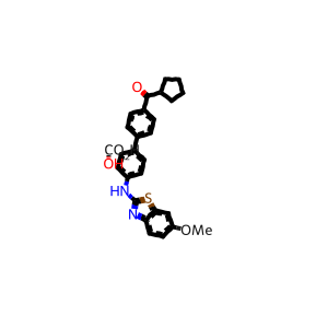 COc1ccc2nc(Nc3ccc(-c4ccc(C(=O)C5CCCC5)cc4)cc3)sc2c1.O=C(O)O